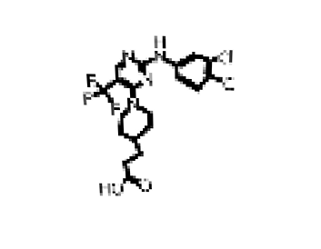 O=C(O)CCC1CCN(c2nc(Nc3ccc(Cl)c(Cl)c3)ncc2C(F)(F)F)CC1